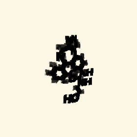 O=C(NCCO)Nc1ccc2c(c1)C(c1ccccc1Cl)=NCc1nncn1-2